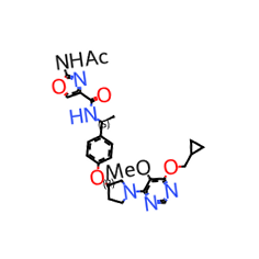 COc1c(OCC2CC2)ncnc1N1CC[C@@H](Oc2ccc([C@H](C)NC(=O)c3coc(NC(C)=O)n3)cc2)C1